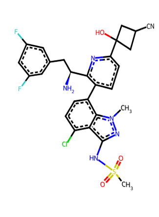 Cn1nc(NS(C)(=O)=O)c2c(Cl)ccc(-c3ccc(C4(O)CC(C#N)C4)nc3[C@@H](N)Cc3cc(F)cc(F)c3)c21